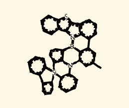 Cc1cc2c3c(c1)N1c4ccccc4[Si]4(c5ccccc5-c5ccccc54)c4cccc(c41)B3n1c3c-2cccc3c2sc3ccccc3c21